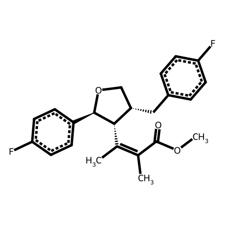 COC(=O)/C(C)=C(/C)[C@H]1[C@@H](Cc2ccc(F)cc2)CO[C@@H]1c1ccc(F)cc1